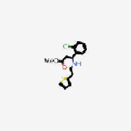 COC(=O)CC(NCCc1cccs1)c1ccccc1Cl